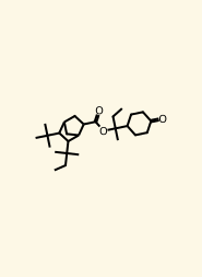 CCC(C)(C)C1C2CC(CC2C(=O)OC(C)(CC)C2CCC(=O)CC2)C1C(C)(C)C